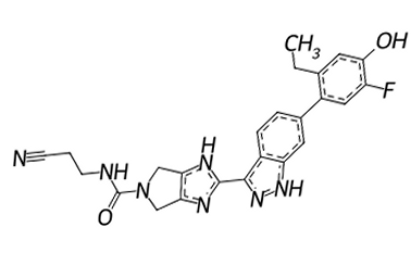 CCc1cc(O)c(F)cc1-c1ccc2c(-c3nc4c([nH]3)CN(C(=O)NCCC#N)C4)n[nH]c2c1